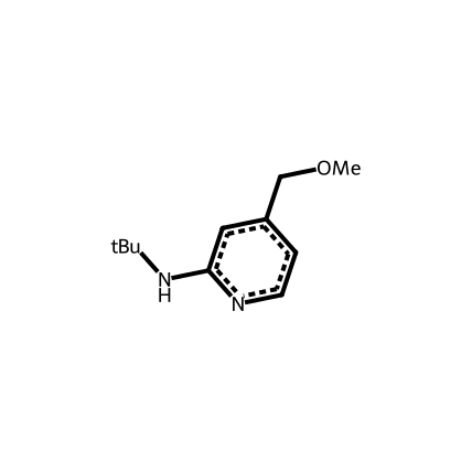 COCc1ccnc(NC(C)(C)C)c1